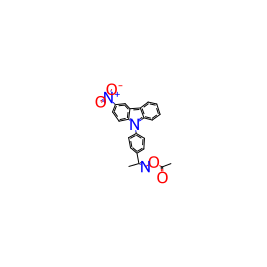 CC(=O)O/N=C(/C)c1ccc(-n2c3ccccc3c3cc([N+](=O)[O-])ccc32)cc1